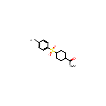 COC(=O)C1CCC(S(=O)(=O)c2ccc([N+](=O)[O-])cc2)CC1